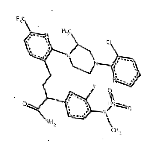 CC1CN(c2ncccc2Cl)CCN1c1nc(C(F)(F)F)ccc1CCC(C(N)=O)c1ccc(N(C)[SH](=O)=O)c(F)c1